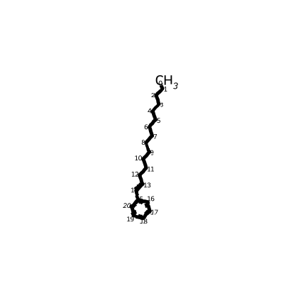 CCCCCCCCCCCCCC=Cc1ccccc1